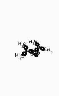 Cc1ccc(N(c2ccc(C)cc2)c2ccc3c(c2)Oc2cccc4c2B3c2ccc(N(c3ccc(C)cc3)c3ccc(C)cc3)cc2O4)cc1